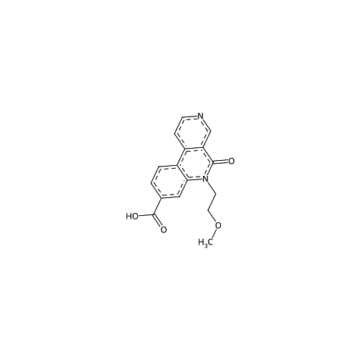 COCCn1c(=O)c2cnccc2c2ccc(C(=O)O)cc21